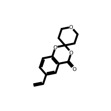 C=Cc1ccc2c(c1)C(=O)OC1(CCOCC1)O2